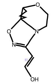 O/C=C/C1=NOC23CCCC2OCCN13